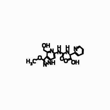 COc1n[nH]c2cc(NC(=O)N[C@@H](C(=O)O)c3ccccn3)nc(CO)c12